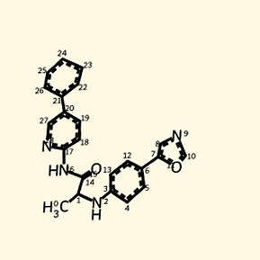 CC(Nc1ccc(-c2cnco2)cc1)C(=O)Nc1ccc(-c2ccccc2)cn1